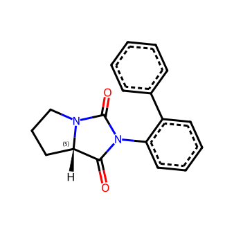 O=C1[C@@H]2CCCN2C(=O)N1c1ccccc1-c1ccccc1